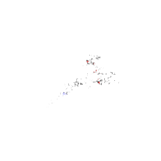 CCC1(NCc2ccc(/N=C(\N)NCc3ccc(-c4ccc(Cl)cc4)cc3)cc2)C[C@H](OC2C(O)[C@H](O)C(CO)O[C@H]2Oc2c3cc4cc2Oc2ccc(cc2Cl)[C@@H](O)[C@@H]2NC(=O)[C@H](NC(=O)[C@@H]4NC(=O)C(CC(N)=O)NC(=O)[C@H](NC(=O)[C@@H](CC(C)C)NC)[C@H](O)c4ccc(cc4)O3)c3ccc(O)c(c3)-c3c(O)cc(O)cc3[C@@H](C(=O)O)NC2=O)OC(C)[C@H]1O